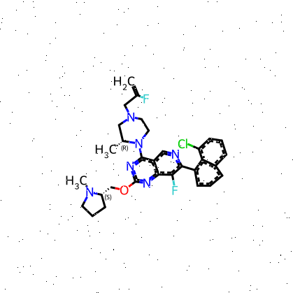 C=C(F)CN1CCN(c2nc(OC[C@@H]3CCCN3C)nc3c(F)c(-c4cccc5cccc(Cl)c45)ncc23)[C@H](C)C1